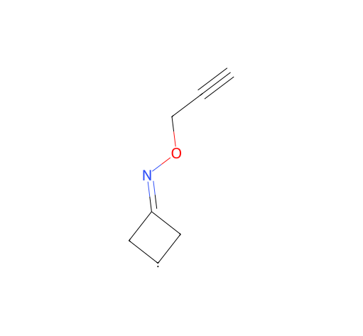 C#CCON=C1C[CH]C1